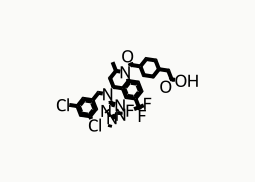 CC1CC(N(Cc2cc(Cl)cc(Cl)c2)c2nnn(C)n2)c2cc(C(F)(F)F)ccc2N1C(=O)C1CCC(CC(=O)O)CC1